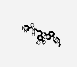 CCc1c(C(=O)C[C@H](CCCNC(=O)c2ccnnc2)c2ccc(OC)c(OC)c2)cccc1N1CCN(CC)CC1